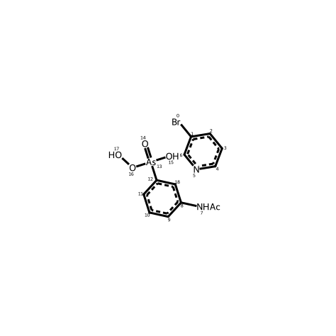 Brc1cccnc1.CC(=O)Nc1cccc([As](=O)(O)OO)c1